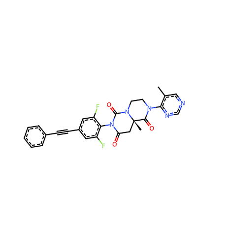 Cc1cncnc1N1CCN2C(=O)N(c3c(F)cc(C#Cc4ccccc4)cc3F)C(=O)C[C@@]2(C)C1=O